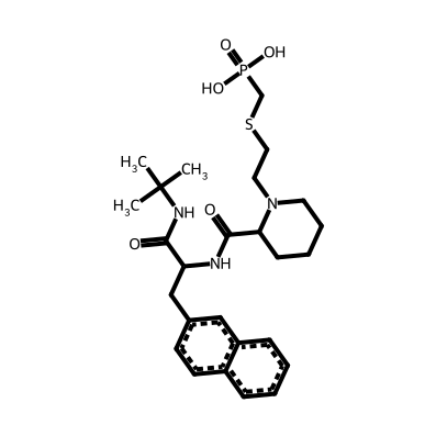 CC(C)(C)NC(=O)C(Cc1ccc2ccccc2c1)NC(=O)C1CCCCN1CCSCP(=O)(O)O